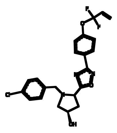 C=CC(F)(F)Oc1ccc(-c2noc(C3C[C@@H](O)CN3Cc3ccc(Cl)cc3)n2)cc1